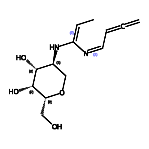 C=C=C/C=N\C(=C/C)N[C@H]1CO[C@H](CO)[C@H](O)[C@@H]1O